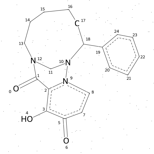 O=C1c2c(O)c(=O)ccn2N2CN1CCCCCC2c1ccccc1